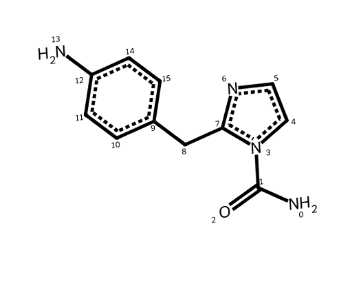 NC(=O)n1ccnc1Cc1ccc(N)cc1